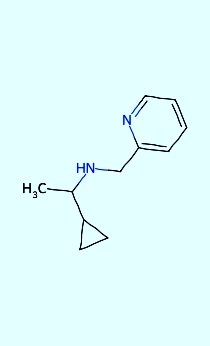 CC(NCc1ccccn1)C1CC1